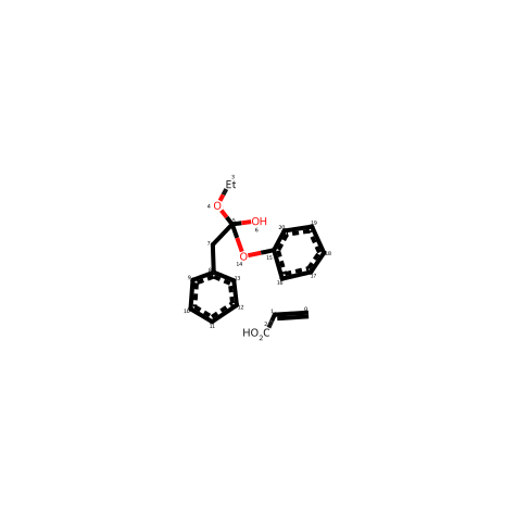 C=CC(=O)O.CCOC(O)(Cc1ccccc1)Oc1ccccc1